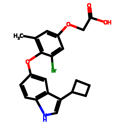 Cc1cc(OCC(=O)O)cc(Br)c1Oc1ccc2[nH]cc(C3CCC3)c2c1